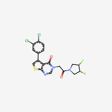 O=C(Cn1cnc2scc(-c3ccc(Cl)c(Cl)c3)c2c1=O)N1C[C@@H](F)[C@@H](F)C1